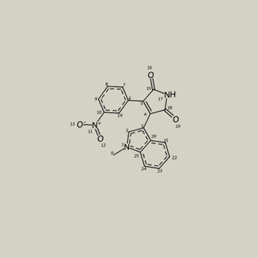 Cn1cc(C2=C(c3cccc([N+](=O)[O-])c3)C(=O)NC2=O)c2ccccc21